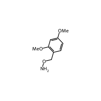 COc1ccc(CON)c(OC)c1